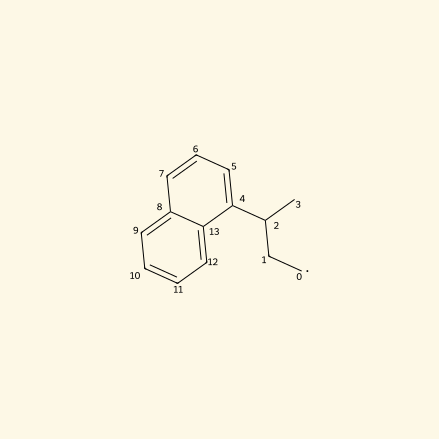 [CH2]CC(C)c1cccc2ccccc12